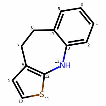 c1ccc2c(c1)CCc1ccsc1N2